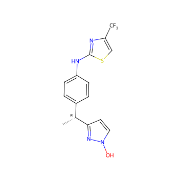 C[C@H](c1ccc(Nc2nc(C(F)(F)F)cs2)cc1)c1ccn(O)n1